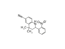 CC1(C)CC(c2ccccc2[N+](=O)[O-])Nc2ccc(C#N)cc21